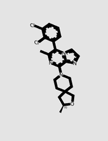 Cc1nc(N2CCC3(CC2)CO[C@@H](C)C3)c2nccn2c1-c1cccc(Cl)c1Cl